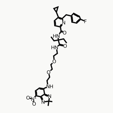 CCC(CC)(NC(=O)c1ccc(C2CC2)c(Cc2ccc(F)cc2)n1)C(=O)NCCOCCOCCNc1ccc([N+](=O)[O-])c2c1=NC(C)(C)N=2